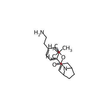 CC(C)(C)OC(=O)N1C2C=C(c3ccc(CCN)cc3)CC1CC2